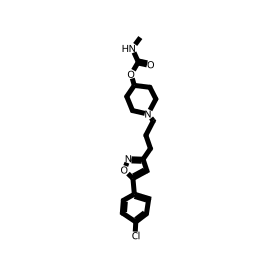 CNC(=O)OC1CCN(CCCc2cc(-c3ccc(Cl)cc3)on2)CC1